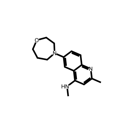 CNc1cc(C)nc2ccc(N3CCCOCC3)cc12